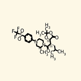 CC(C)C[C@H](C(=O)N1CCN(c2ccc(S(=O)(=O)C(F)(F)F)cc2)C[C@H]1C)[C@@H]1OC(C)(C)OC1=O